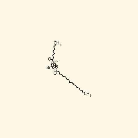 CCCCCCC/C=C/CCCCCCCCC(=O)OCC(Br)(COC(=O)CCCCCCCC)[N+](=O)[O-]